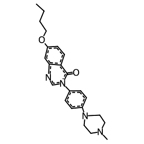 CCCCOc1ccc2c(=O)n(-c3ccc(N4CCN(C)CC4)cc3)cnc2c1